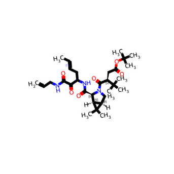 C=CCNC(=O)C(=O)C(C/C=C/C)NC(=O)[C@@H]1[C@H]2[C@@H](CN1C(=O)[C@@H](CC(=O)OC(C)(C)C)C(C)(C)C)C2(C)C